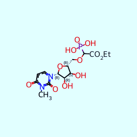 CCOC(=O)C(OC[C@H]1O[C@@H](n2ccc(=O)n(C)c2=O)[C@H](O)[C@@H]1O)P(=O)(O)O